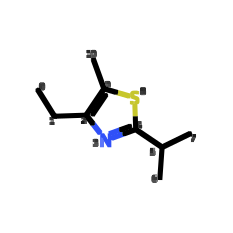 CCc1nc(C(C)C)sc1C